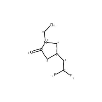 O=C1CC(CC(F)F)CN1CCl